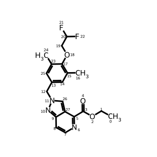 CCOC(=O)c1nccc2nn(Cc3cc(C)c(OCC(F)F)c(C)c3)cc12